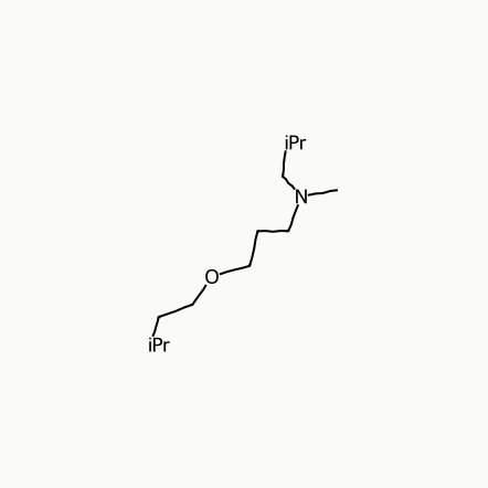 CC(C)CCOCCCN(C)CC(C)C